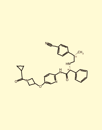 C[C@H](CN[C@@H](C(=O)Nc1ccc(OC2CN(C(=O)C3CC3)C2)cn1)c1ccccc1)c1ccc(C#N)cc1